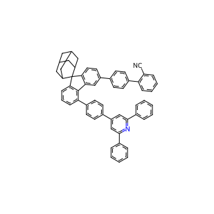 N#Cc1ccccc1-c1ccc(-c2ccc3c(c2)-c2c(-c4ccc(-c5cc(-c6ccccc6)nc(-c6ccccc6)c5)cc4)cccc2C32C3CC4CC(C3)CC2C4)cc1